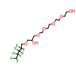 OCCOCCOCCOCCOCC(O)COCC(F)(F)C(F)(F)C(F)(F)C(F)F